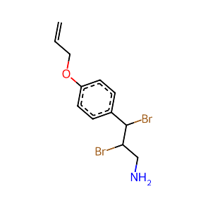 C=CCOc1ccc(C(Br)C(Br)CN)cc1